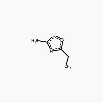 Bc1nc(CC)no1